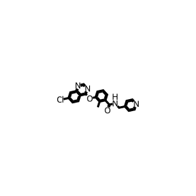 Cc1c(Oc2ncnc3cc(Cl)ccc23)cccc1C(=O)NCc1ccncc1